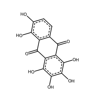 O=C1c2ccc(O)c(O)c2C(=O)c2c(O)c(O)c(O)c(O)c21